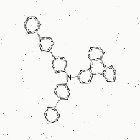 c1ccc(-c2ccc(-c3ccc(N(c4ccc(-c5ccccc5)cc4)c4ccc5c6ccccc6c6ccccc6c5c4)cc3)cc2)cc1